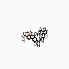 CNC(=O)c1ccc(-c2cc(OC)c(Nc3ncc(Cl)c(Nc4ccccc4C(N)=O)n3)cc2C(=O)N2CCN(C)CC2)cc1